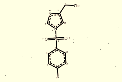 Cc1ccc(S(=O)(=O)n2cnc(CCl)c2)cc1